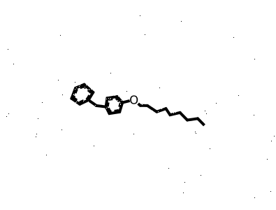 CCCCCCCCCOc1ccc(Cc2ccccc2)cc1